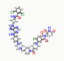 O=C1CC[C@H](N2C(=O)c3cc(F)c(N4CCC(C(=O)N5CCC(CN6CCN(c7ccc(Nc8ncnc9c8ncn9C8CC(NC(=O)c9c(Cl)cccc9Cl)C8)cc7)CC6)CC5)CC4)cc3C2=O)C(=O)N1